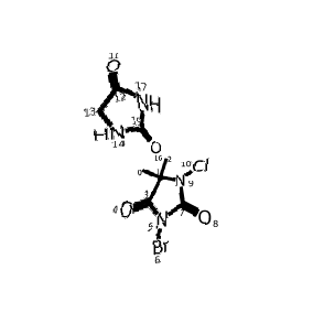 CC1(C)C(=O)N(Br)C(=O)N1Cl.O=C1CNC(=O)N1